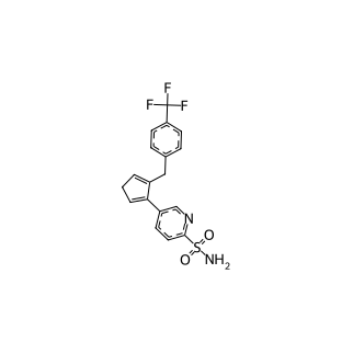 NS(=O)(=O)c1ccc(C2=CCC=C2Cc2ccc(C(F)(F)F)cc2)cn1